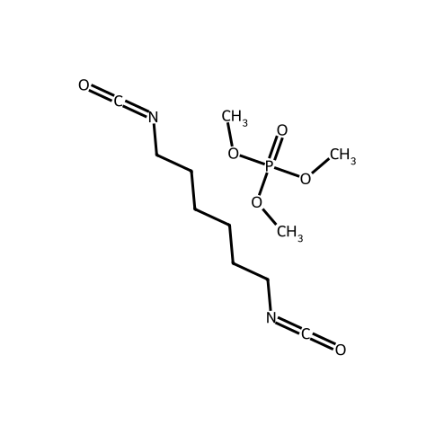 COP(=O)(OC)OC.O=C=NCCCCCCN=C=O